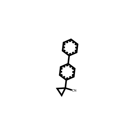 N#CC1(c2ccc(-c3ccccc3)cc2)CC1